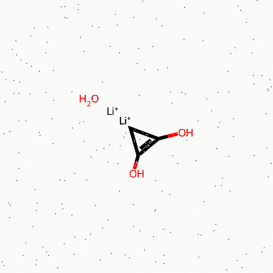 O.OC1=C(O)C1.[Li+].[Li+]